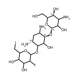 NC1C(O)[C@@H](O[C@@H]2C(N)C[C@@H](N)C(OC3OC(CI)C(O)C(O)C3I)C2O)OC(CO)[C@H]1O